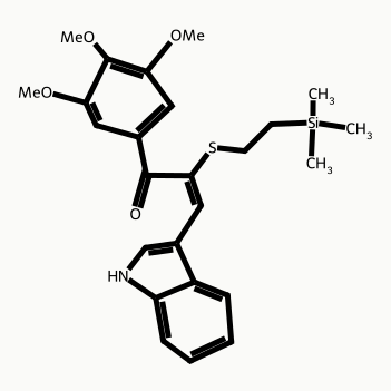 COc1cc(C(=O)/C(=C\c2c[nH]c3ccccc23)SCC[Si](C)(C)C)cc(OC)c1OC